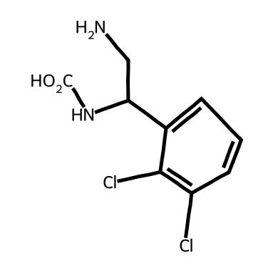 NCC(NC(=O)O)c1cccc(Cl)c1Cl